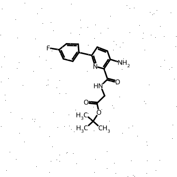 CC(C)(C)OC(=O)CNC(=O)c1nc(-c2ccc(F)cc2)ccc1N